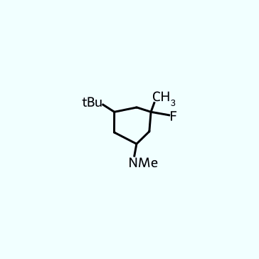 CNC1CC(C(C)(C)C)CC(C)(F)C1